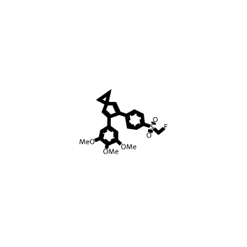 COc1cc(C2=CC3(C=C2c2ccc(S(=O)(=O)CF)cc2)CC3)cc(OC)c1OC